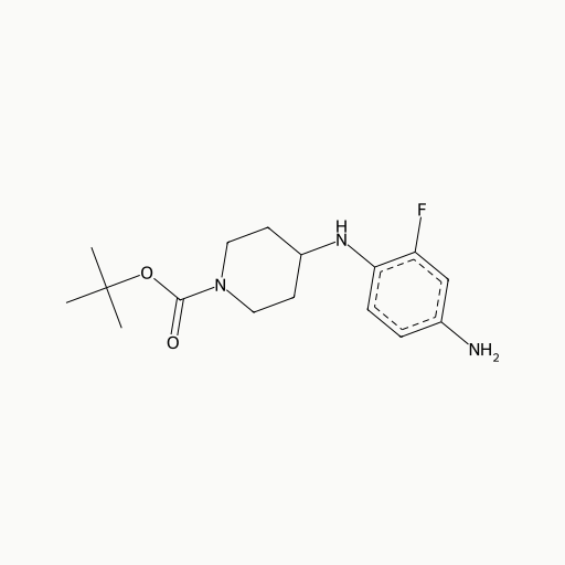 CC(C)(C)OC(=O)N1CCC(Nc2ccc(N)cc2F)CC1